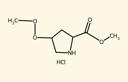 COOC1CNC(C(=O)OC)C1.Cl